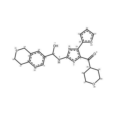 O=C(c1sc(NC(O)c2cnc3c(c2)CSCC3)nc1-c1ccco1)C1CCOCC1